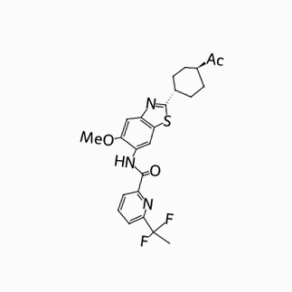 COc1cc2nc([C@H]3CC[C@H](C(C)=O)CC3)sc2cc1NC(=O)c1cccc(C(C)(F)F)n1